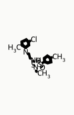 CCN(SNCC=Nc1cc(Cl)ccc1C)S(=O)(=O)c1ccc(C)cc1